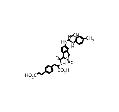 CC(=O)N1Cc2cc(NC(=NC#N)Nc3ccc(C)cc3)ccc2C1C(=O)NC(Cc1ccc(CCC(=O)O)cc1)C(=O)O